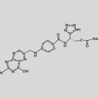 CNC(=O)CC[C@H](NC(=O)c1ccc(NCc2cnc3nc(N)nc(O)c3n2)cc1)c1nnn[nH]1